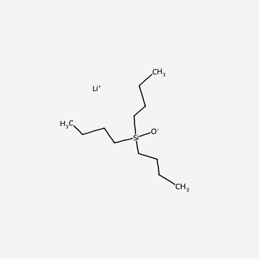 CCCC[Si]([O-])(CCCC)CCCC.[Li+]